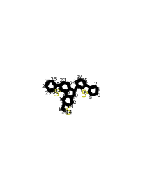 c1ccc2c(c1)sc1c(-c3cc4cc5sccc5cc4c4c3ccc3c5ccccc5sc34)cccc12